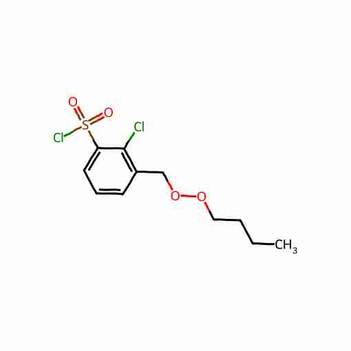 CCCCOOCc1cccc(S(=O)(=O)Cl)c1Cl